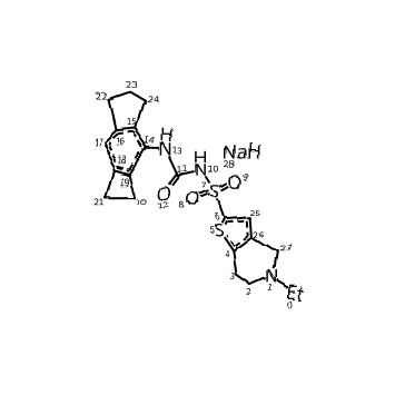 CCN1CCc2sc(S(=O)(=O)NC(=O)Nc3c4c(cc5c3CC5)CCC4)cc2C1.[NaH]